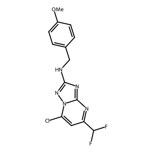 COc1ccc(CNc2nc3nc(C(F)F)cc(Cl)n3n2)cc1